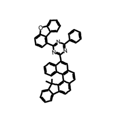 CC1(C)c2ccccc2-c2ccc3ccc4cc(-c5nc(-c6ccccc6)nc(-c6cccc7oc8ccccc8c67)n5)c5ccccc5c4c3c21